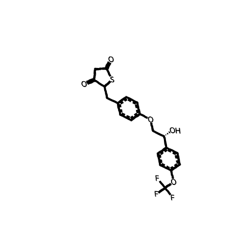 O=C1CC(=O)C(Cc2ccc(OC[C@H](O)c3ccc(OC(F)(F)F)cc3)cc2)S1